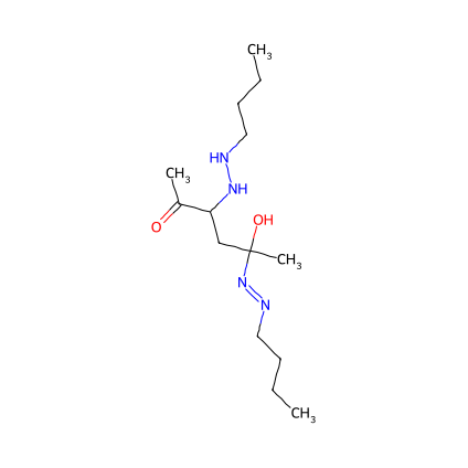 CCCCN=NC(C)(O)CC(NNCCCC)C(C)=O